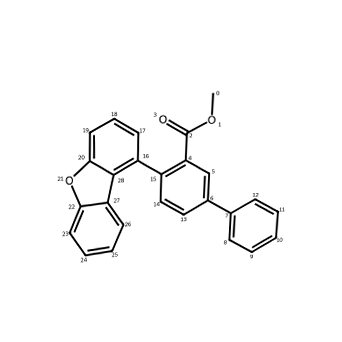 COC(=O)c1cc(-c2ccccc2)ccc1-c1cccc2oc3ccccc3c12